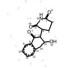 O=C1CCC(C2C(=O)c3ccccc3CC2O)C(=O)N1